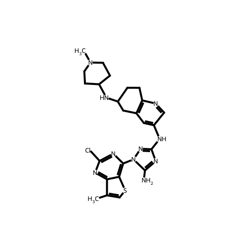 Cc1csc2c(-n3nc(Nc4cnc5c(c4)CC(NC4CCN(C)CC4)CC5)nc3N)nc(Cl)nc12